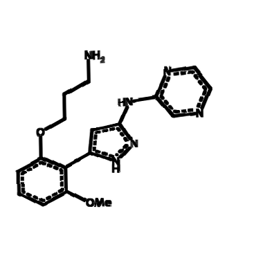 COc1cccc(OCCCN)c1-c1cc(Nc2cnccn2)n[nH]1